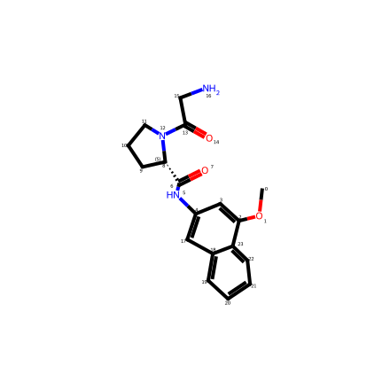 COc1cc(NC(=O)[C@@H]2CCCN2C(=O)CN)cc2ccccc12